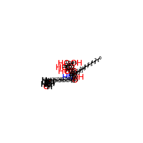 CCCCCCCCCCCCCC[C@@H](O)[C@@H](O)[C@H](COC1OC(CO)C(O)C(O)C1O)NC1(CCCCCCCCCC[C@H]2C[C@@H]3C[C@H]2[C@@H]2O[C@H]32)COC1